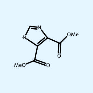 COC(=O)C1=C(C(=O)OC)N=C[N]1